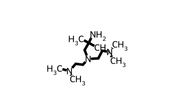 CN(C)CCN(CCN(C)C)CC(C)(C)N